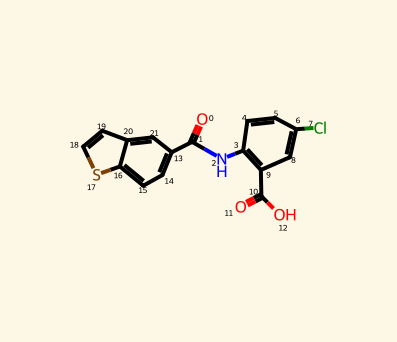 O=C(Nc1ccc(Cl)cc1C(=O)O)c1ccc2sccc2c1